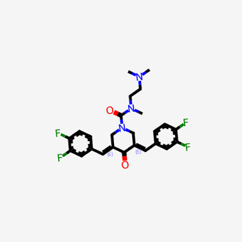 CN(C)CCN(C)C(=O)N1C/C(=C\c2ccc(F)c(F)c2)C(=O)/C(=C/c2ccc(F)c(F)c2)C1